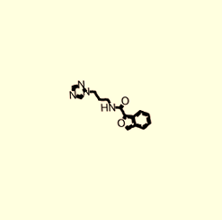 O=C(NCCCn1cncn1)c1occ2ccccc12